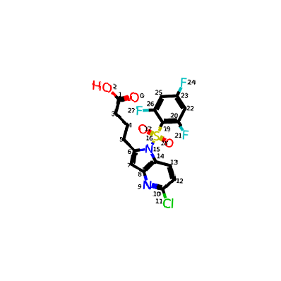 O=C(O)CCCc1cc2nc(Cl)ccc2n1S(=O)(=O)c1c(F)cc(F)cc1F